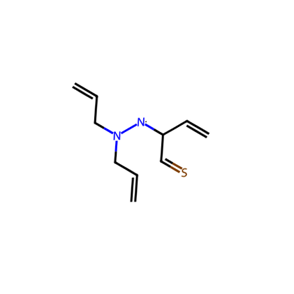 C=CCN(CC=C)[N]C(C=C)C=S